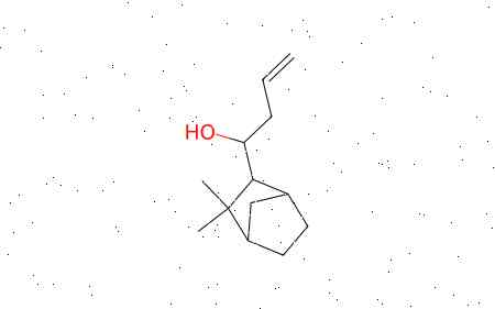 C=CCC(O)C1C2CCC(C2)C1(C)C